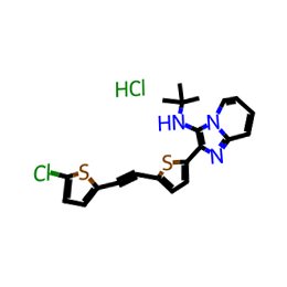 CC(C)(C)Nc1c(-c2ccc(C#Cc3ccc(Cl)s3)s2)nc2ccccn12.Cl